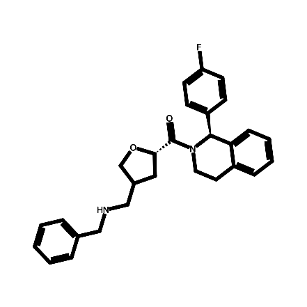 O=C([C@@H]1CC(CNCc2ccccc2)CO1)N1CCc2ccccc2[C@@H]1c1ccc(F)cc1